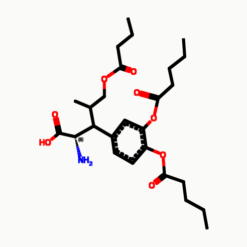 CCCCC(=O)Oc1ccc(C(C(C)COC(=O)CCC)[C@H](N)C(=O)O)cc1OC(=O)CCCC